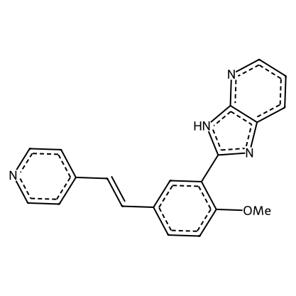 COc1ccc(C=Cc2ccncc2)cc1-c1nc2cccnc2[nH]1